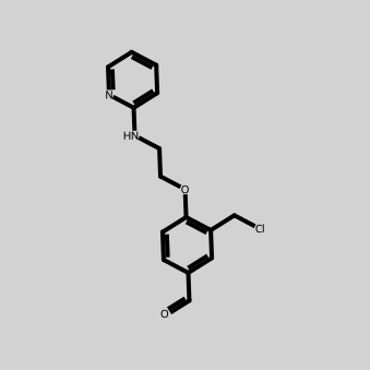 O=Cc1ccc(OCCNc2ccccn2)c(CCl)c1